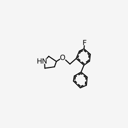 Fc1ccc(-c2ccccc2)c(COC2CCNC2)c1